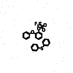 O=S(=O)(Oc1ccccc1Oc1ccccc1)C(F)(F)F.c1ccc(Sc2ccccc2)cc1